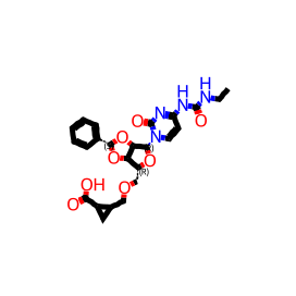 CCNC(=O)Nc1ccn([C@@H]2O[C@H](COCC3CC3C(=O)O)C3O[C@H](c4ccccc4)OC32)c(=O)n1